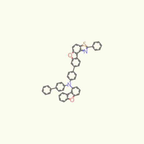 c1ccc(-c2ccc(N(c3ccc(-c4ccc5c(c4)oc4ccc6sc(-c7ccccc7)nc6c45)cc3)c3cccc4oc5ccccc5c34)cc2)cc1